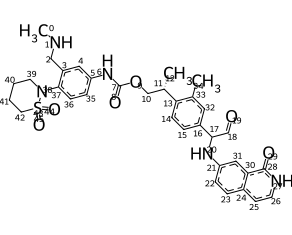 CNCc1cc(NC(=O)OC[C@H](C)c2ccc(C(C=O)Nc3ccc4cc[nH]c(=O)c4c3)cc2C)ccc1N1CCCCS1(=O)=O